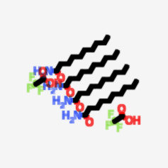 CCCCCCCCCC(N)=O.CCCCCCCCCC(N)=O.CCCCCCCCCC(N)=O.CCCCCCCCCC(N)=O.O=C(O)C(F)(F)F.O=C(O)C(F)(F)F